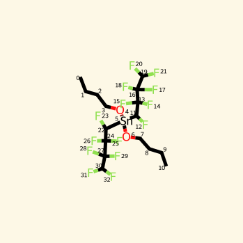 CCCC[O][Sn]([O]CCCC)([CH](F)C(F)(F)C(F)(F)C(F)F)[CH](F)C(F)(F)C(F)(F)C(F)F